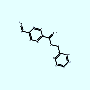 O=Cc1ccc(C(=O)CCc2ccccn2)cc1